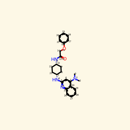 CN(C)c1cc(N[C@H]2CC[C@@H](NC(=O)COc3ccccc3)CC2)nc2ccccc12